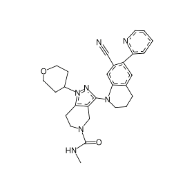 CNC(=O)N1CCc2c(c(N3CCCc4cc(-c5ccccn5)c(C#N)cc43)nn2C2CCOCC2)C1